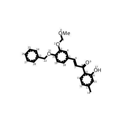 COCOc1cc(/C=C/C(=O)c2ccc(C)cc2O)ccc1OCc1ccccc1